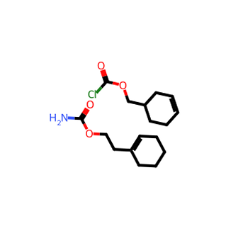 NC(=O)OCCC1=CCCCC1.O=C(Cl)OCC1CC=CCC1